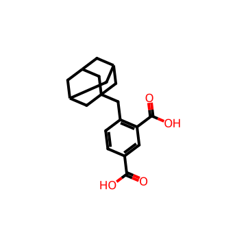 O=C(O)c1ccc(CC23CC4CC(CC(C4)C2)C3)c(C(=O)O)c1